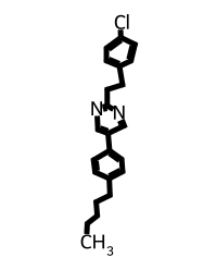 CCCCCc1ccc(-c2cnc(CCc3ccc(Cl)cc3)nc2)cc1